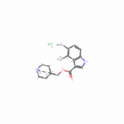 COc1ccc2[nH]cc(C(=O)OCC34CCN(CC3)CC4)c2c1C.Cl